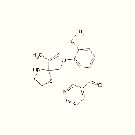 COc1ccccc1OCC1(C(C)=S)NCCS1.O=Cc1cccnc1